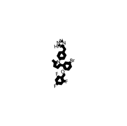 Cc1ccc(-c2cc(Br)ccc2OCc2c(F)cc(F)cc2F)n1-c1ccc(Cc2nnn[nH]2)cc1